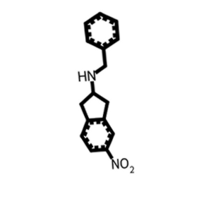 O=[N+]([O-])c1ccc2c(c1)CC(NCc1ccccc1)C2